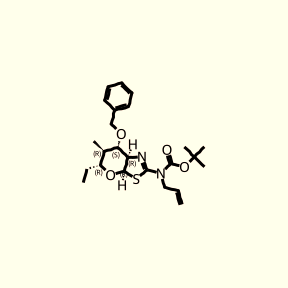 C=CCN(C(=O)OC(C)(C)C)C1=N[C@@H]2[C@@H](OCc3ccccc3)[C@H](C)[C@@H](CC)O[C@@H]2S1